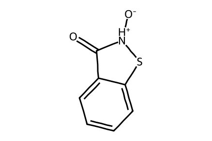 O=C1c2ccccc2S[NH+]1[O-]